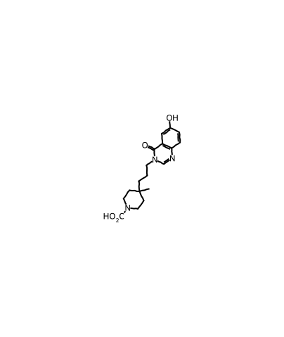 CC1(CCCn2cnc3ccc(O)cc3c2=O)CCN(C(=O)O)CC1